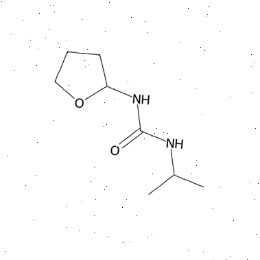 CC(C)NC(=O)NC1CCCO1